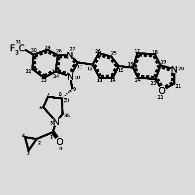 O=C(C1CC1)N1CC[C@H](Cn2c(-c3ccc(-c4ccc5ncoc5c4)cc3)nc3cc(C(F)(F)F)ccc32)C1